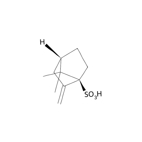 C=C1C[C@@H]2CC[C@@]1(S(=O)(=O)O)C2(C)C